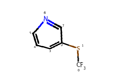 FC(F)(F)Sc1cc[c]nc1